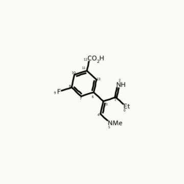 CCC(=N)/C(=C\NC)c1cc(F)cc(C(=O)O)c1